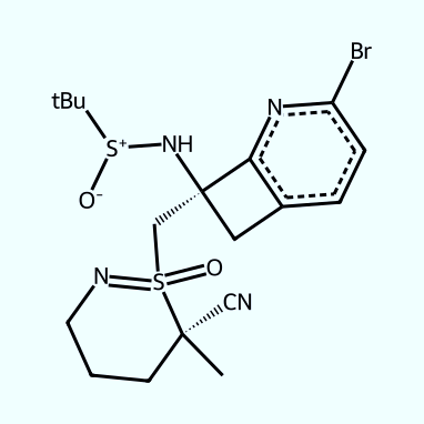 CC(C)(C)[S+]([O-])N[C@]1(CS2(=O)=NCCC[C@@]2(C)C#N)Cc2ccc(Br)nc21